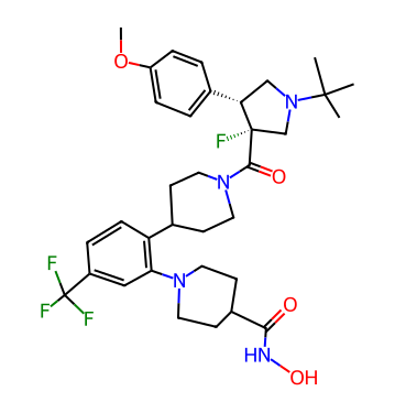 COc1ccc([C@@H]2CN(C(C)(C)C)C[C@@]2(F)C(=O)N2CCC(c3ccc(C(F)(F)F)cc3N3CCC(C(=O)NO)CC3)CC2)cc1